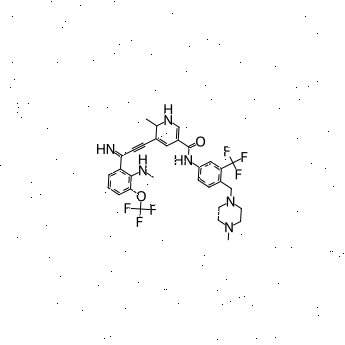 CNc1c(OC(F)(F)F)cccc1C(=N)C#CC1=CC(C(=O)Nc2ccc(CN3CCN(C)CC3)c(C(F)(F)F)c2)=CNC1C